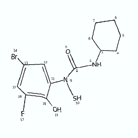 O=C(NC1CCCCC1)N(S)c1cc(Br)cc(F)c1O